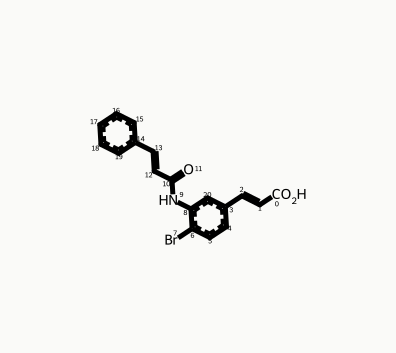 O=C(O)/C=C/c1ccc(Br)c(NC(=O)C=Cc2ccccc2)c1